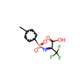 Cc1ccc(S(=O)(=O)/N=C(\C(=O)O)C(F)(F)F)cc1